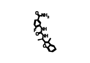 Cc1c([C@@H](C)NC(=O)Nc2cc(C(N)=O)ccc2F)oc2ccccc12